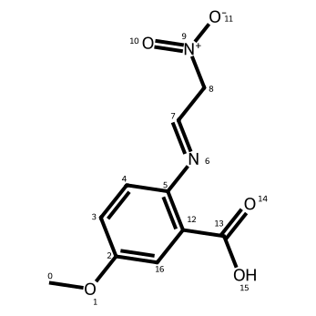 COc1ccc(/N=C/C[N+](=O)[O-])c(C(=O)O)c1